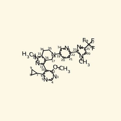 COc1ncnc(C2CC2)c1-c1nn(C)c2c1CN(c1ccc(-c3nc(C(F)(F)F)cn3C)nc1)CC2